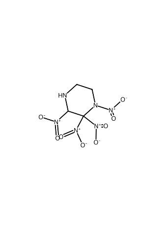 O=[N+]([O-])C1NCCN([N+](=O)[O-])C1([N+](=O)[O-])[N+](=O)[O-]